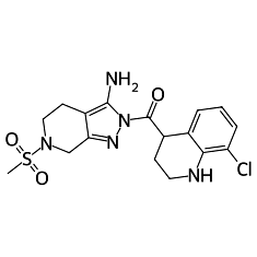 CS(=O)(=O)N1CCc2c(nn(C(=O)C3CCNc4c(Cl)cccc43)c2N)C1